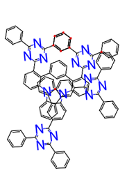 c1ccc(-c2nc(-c3ccccc3)nc(-c3ccc4c(c3)c3ccccc3n4-c3cccc(-c4nc(-c5ccccc5)nc(-c5ccccc5)n4)c3-c3cccc(-c4c(-c5nc(-c6ccccc6)nc(-c6ccccc6)n5)cccc4-n4c5ccccc5c5cc(-c6nc(-c7ccccc7)nc(-c7ccccc7)n6)ccc54)c3)n2)cc1